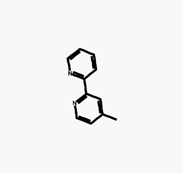 Cc1ccnc(-c2ccc[c]n2)c1